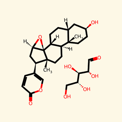 C[C@]12CC[C@H](O)C[C@H]1CC[C@@H]1[C@@H]2CC[C@]2(C)[C@@H](c3ccc(=O)oc3)C[C@H]3O[C@]132.O=C[C@H](O)[C@H](O)[C@H](O)CO